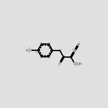 CCOC(=O)C(=[N+]=[N-])C(=O)Cc1ccc(C)cc1